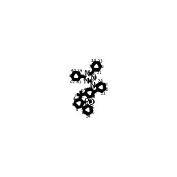 CC1(C)c2ccccc2P(=O)(c2ccccc2)c2cc3c4ccccc4n(-c4nc(-c5ccccc5)nc(-c5ccccc5)n4)c3cc21